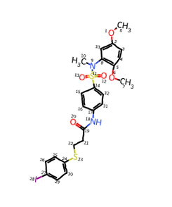 COc1ccc(OC)c(N(C)S(=O)(=O)c2ccc(NC(=O)CCSc3ccc(I)cc3)cc2)c1